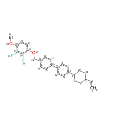 C=CC1CCC(c2ccc(-c3ccc(COc4ccc(OCC)c(F)c4F)cc3)cc2)CC1